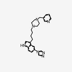 c1cncc(CN2CCN(CCCCc3c[nH]c4ccc(-n5cnnc5)cc34)CC2)c1